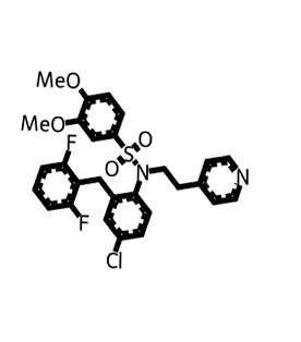 COc1ccc(S(=O)(=O)N(CCc2ccncc2)c2ccc(Cl)cc2Cc2c(F)cccc2F)cc1OC